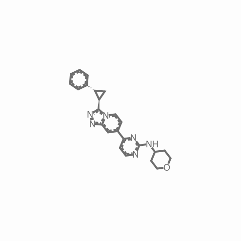 c1ccc([C@@H]2C[C@H]2c2nnc3cc(-c4ccnc(NC5CCOCC5)n4)ccn23)cc1